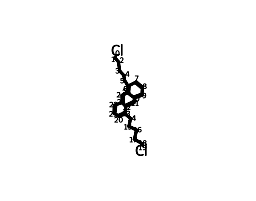 ClCCCCCc1cccc2cc3c(CCCCCCl)cccc3cc12